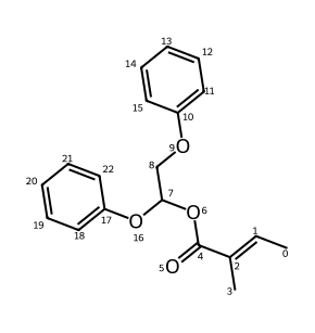 CC=C(C)C(=O)OC(COc1ccccc1)Oc1ccccc1